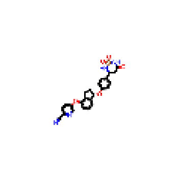 N#Cc1ccc(Oc2cccc3c2CC[C@H]3Oc2ccc(C3CC(=O)NS(=O)(=O)N3)cc2)cn1